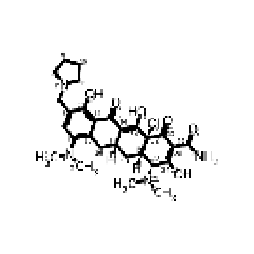 CN(C)c1cc(CN2CCCC2)c(O)c2c1C[C@H]1C[C@H]3[C@H](N(C)C)C(O)=C(C(N)=O)C(=O)[C@@]3(O)C(O)=C1C2=O